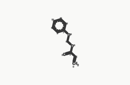 C=CC(=O)OCOc1cc[c]cc1